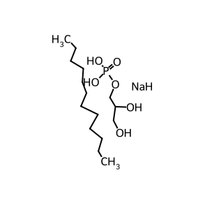 CCCCCCCCCCCC.O=P(O)(O)OCC(O)CO.[NaH]